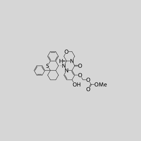 COC(=O)OCOC1=C2C(=O)N3CCOC[C@H]3N([C@H]3c4ccccc4SC4(c5ccccc5)CCCCC34)N2C=CC1O